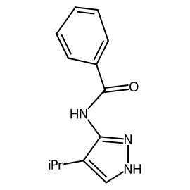 CC(C)c1c[nH]nc1NC(=O)c1ccccc1